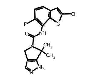 CC1(C)c2[nH]ncc2CN1C(=O)Nc1c(F)ccc2cc(Cl)oc12